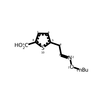 CCCCON=CCc1ccc(C(=O)O)s1